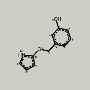 Oc1cccc(COc2ccc[nH]2)c1